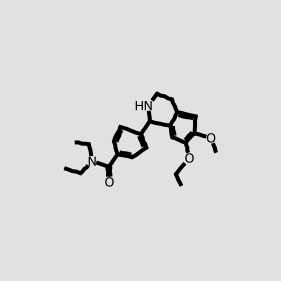 CCOc1cc2c(cc1OC)CCNC2c1ccc(C(=O)N(CC)CC)cc1